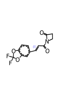 O=C(/C=C/c1ccc2c(c1)OC(F)(F)O2)N1CCC1=O